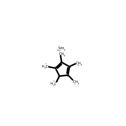 CC1=C(C)C(C)C(C)=C1C.[SrH2]